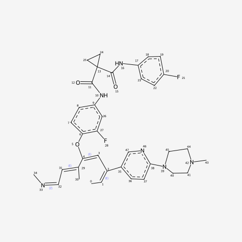 C\C=C(/C=C(Oc1ccc(NC(=O)C2(C(=O)Nc3ccc(F)cc3)CC2)cc1F)\C(C)=C\C=N/C)c1ccc(N2CCN(C)CC2)nc1